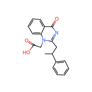 CC(Cc1nc(=O)c2ccccc2n1CC(=O)O)c1ccccc1